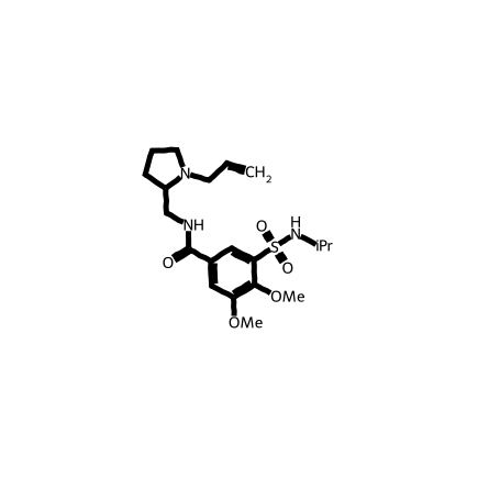 C=CCN1CCCC1CNC(=O)c1cc(OC)c(OC)c(S(=O)(=O)NC(C)C)c1